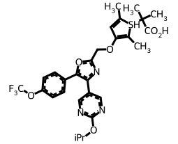 CC1=CC(OCc2nc(-c3cnc(OC(C)C)nc3)c(-c3ccc(OC(F)(F)F)cc3)o2)=C(C)[SH]1C(C)(C)C(=O)O